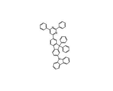 c1ccc(-c2cc(-c3ccc4c(c3)C(c3ccccc3)(c3ccccc3)c3cc(-n5c6ccccc6c6ccccc65)ccc3-4)nc(-c3ccccc3)n2)cc1